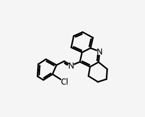 Clc1ccccc1C=Nc1c2c(nc3ccccc13)CCCC2